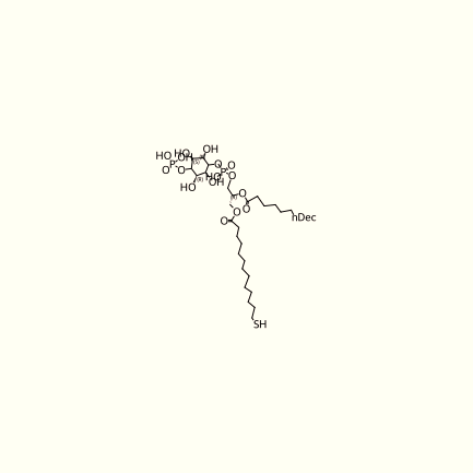 CCCCCCCCCCCCCCCC(=O)O[C@H](COC(=O)CCCCCCCCCCCCS)COP(=O)(O)OC1C(O)[C@@H](O)C(OP(=O)(O)O)[C@@H](O)[C@H]1O